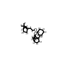 CC1(C)CC2(CCOC3(OC4CC5CCC4(C)C5(C)C)CCCCC3)CCC1C2